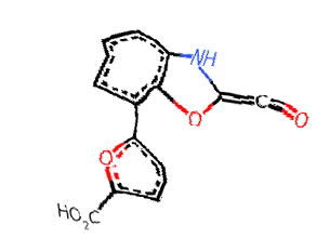 O=C=C1Nc2cccc(-c3ccc(C(=O)O)o3)c2O1